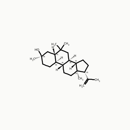 C=C(C)[C@H]1CC[C@H]2[C@@H]3CC(C)(C)[C@H]4C[C@](C)(O)CC[C@@H]4[C@H]3CC[C@]12C